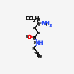 C#CCNC(=O)CCC(N)C(=O)O